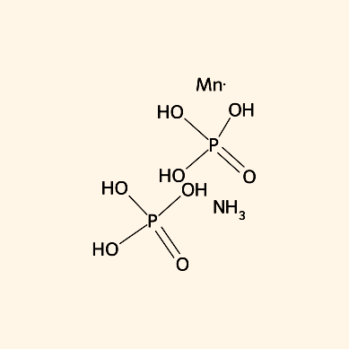 N.O=P(O)(O)O.O=P(O)(O)O.[Mn]